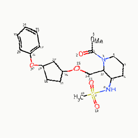 COC(=O)N1CCCC(NS(C)(=O)=O)C1COC1CCC(Oc2ccccc2)C1